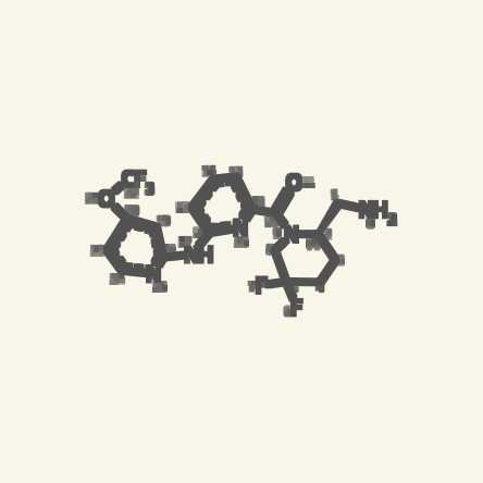 NC[C@H]1CCC(F)(F)CN1C(=O)c1cccc(Nc2cc(OC(F)(F)F)ccn2)n1